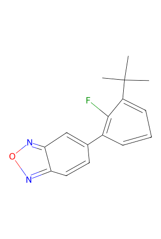 CC(C)(C)c1cccc(-c2ccc3nonc3c2)c1F